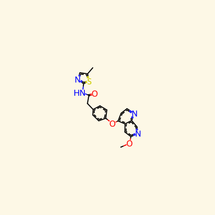 COc1cc2c(Oc3ccc(CC(=O)Nc4ncc(C)s4)cc3)ccnc2cn1